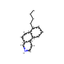 CCCCc1cccc2c1ccc1cnccc12